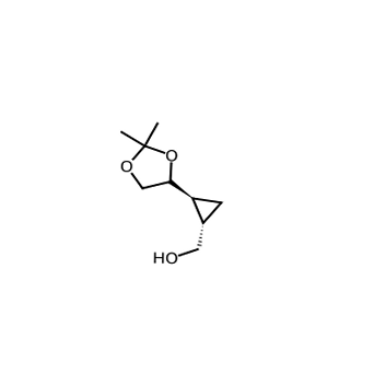 CC1(C)OCC([C@H]2C[C@@H]2CO)O1